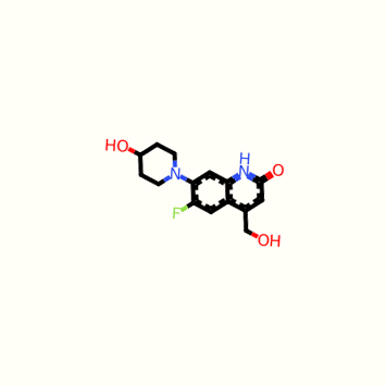 O=c1cc(CO)c2cc(F)c(N3CCC(O)CC3)cc2[nH]1